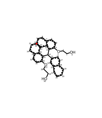 OCCOc1ccc2ccccc2c1C(c1ccc2ccccc2c1)c1c(OCCO)ccc2ccccc12